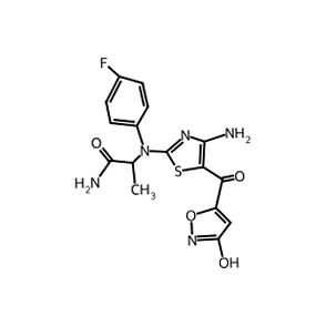 CC(C(N)=O)N(c1ccc(F)cc1)c1nc(N)c(C(=O)c2cc(O)no2)s1